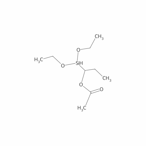 CCO[SiH](OCC)C(CC)OC(C)=O